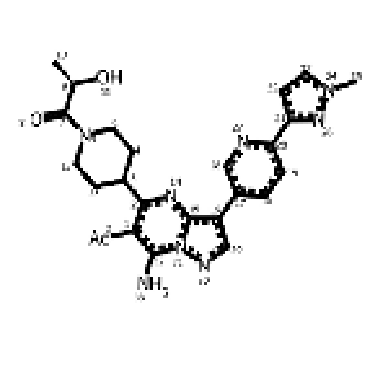 CC(=O)c1c(C2CCN(C(=O)[C@@H](C)O)CC2)nc2c(-c3ccc(-c4ccn(C)n4)nc3)cnn2c1N